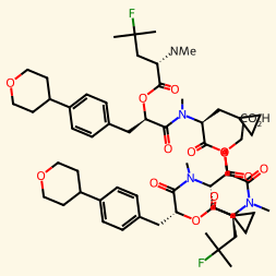 CN[C@@H](CC(C)(C)F)C(=O)O[C@H](Cc1ccc(C2CCOCC2)cc1)C(=O)N(C)[C@@H](CC1CC1)C(=O)OCC(=O)N(C)[C@@H](CC(C)(C)F)C(=O)O[C@H](Cc1ccc(C2CCOCC2)cc1)C(=O)N(C)[C@@H](CC1CC1)C(=O)OCC(=O)O